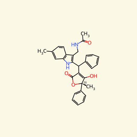 CC(=O)NCc1c(C(C2=C(O)[C@](C)(c3ccccc3)OC2=O)c2ccccc2)[nH]c2cc(C)ccc12